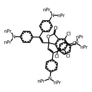 CCCN(CCC)c1ccc(C(=CC2(C=C(c3ccc(N(CCC)CCC)cc3)c3ccc(N(CCC)CCC)cc3)OC(=O)c3c(Cl)c(Cl)c(Cl)c(Cl)c32)c2ccc(N(CCC)CCC)cc2)cc1